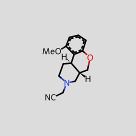 COc1cccc2c1[C@@H]1CCN(CC#N)C[C@H]1CO2